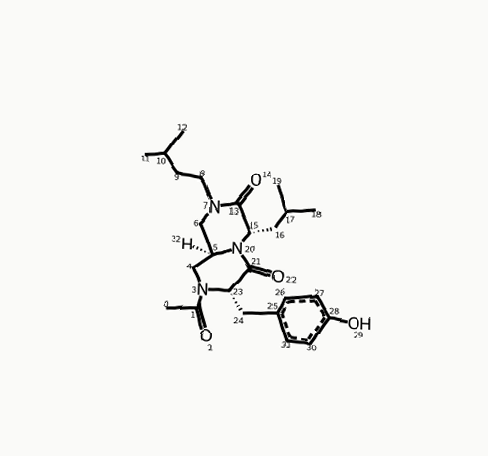 CC(=O)N1C[C@H]2CN(CCC(C)C)C(=O)[C@H](CC(C)C)N2C(=O)[C@@H]1Cc1ccc(O)cc1